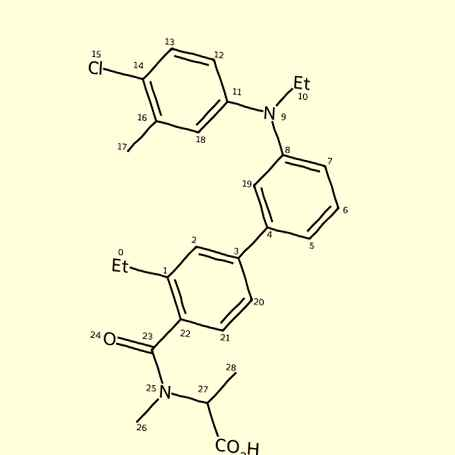 CCc1cc(-c2cccc(N(CC)c3ccc(Cl)c(C)c3)c2)ccc1C(=O)N(C)C(C)C(=O)O